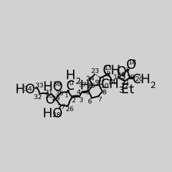 C=C1/C(=C\C=C2/CCC[C@]3(C)[C@@H]([C@H](C)C[C@@H]4OC(=O)C(=C)[C@@H]4CC)CC[C@@H]23)C[C@@H](O)[C@H](OCCCO)[C@@H]1O